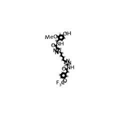 COc1cc(O)ccc1CNC(=O)c1cn(CCCCc2nnc(NC(=O)Cc3cccc(OC(F)(F)F)c3)s2)nn1